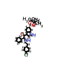 CC1(C)OB(c2ccc3c(C(=O)C(NCCc4ccc(Cl)cc4)c4ccccc4)c[nH]c3c2)OC1(C)C